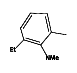 CCc1cccc(C)c1NC